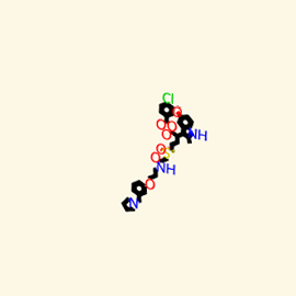 COc1ccc2[nH]c(C)c(C(CCC[S+]([O-])CC(=O)NCCCOc3cccc(CN4CCCC4)c3)C(=O)OC(=O)c3ccc(Cl)cc3)c2c1